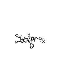 COC[C@H](C)n1c(C#N)cc2cnc(Nc3cn(CCO[Si](C)(C)C(C)(C)C)nc3O[C@@H]3CCOC3)nc21